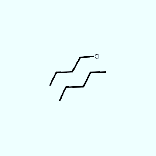 CCCCC.CCCCCl